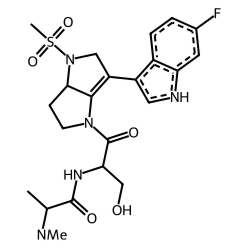 CNC(C)C(=O)NC(CO)C(=O)N1CCC2C1=C(c1c[nH]c3cc(F)ccc13)CN2S(C)(=O)=O